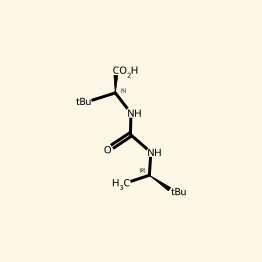 C[C@@H](NC(=O)N[C@H](C(=O)O)C(C)(C)C)C(C)(C)C